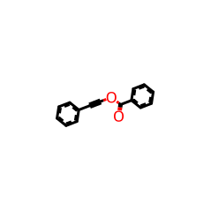 O=C(OC#Cc1ccccc1)c1ccccc1